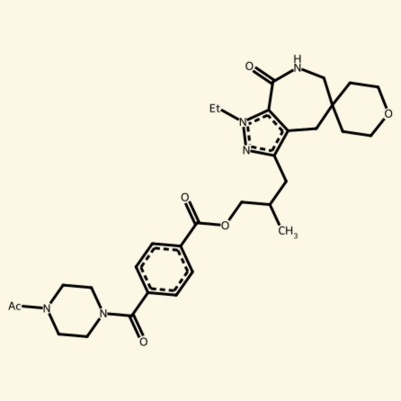 CCn1nc(CC(C)COC(=O)c2ccc(C(=O)N3CCN(C(C)=O)CC3)cc2)c2c1C(=O)NCC1(CCOCC1)C2